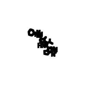 Cc1c(-c2cn(C3CCCCC3)nn2)sc2[nH]c(-c3cn4ncnc4c4c3CCC4)c(C(C)C)c12